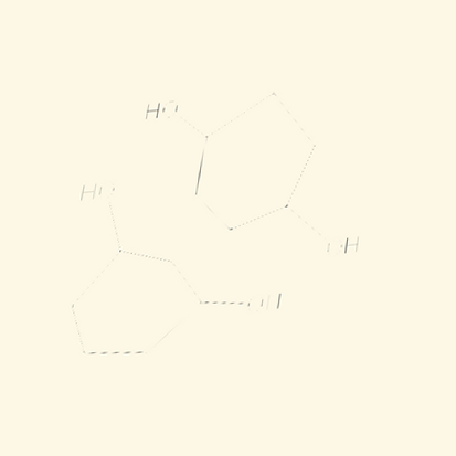 OC1CCC(O)CC1.OC1CCCC(O)C1